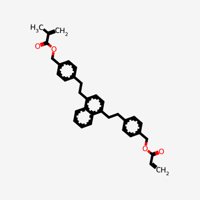 C=CC(=O)OCc1ccc(CCc2ccc(CCc3ccc(COC(=O)C(=C)C)cc3)c3ccccc23)cc1